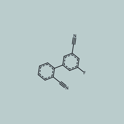 N#Cc1cc(F)cc(-c2ccccc2C#N)c1